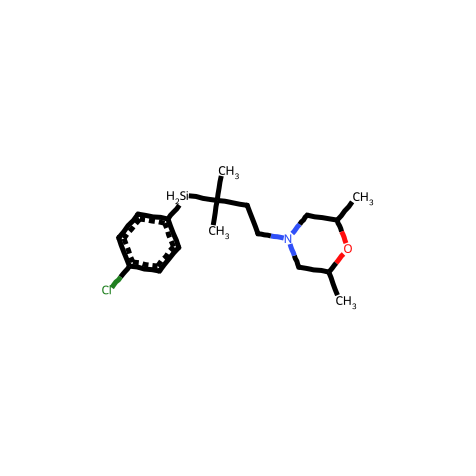 CC1CN(CCC(C)(C)[SiH2]c2ccc(Cl)cc2)CC(C)O1